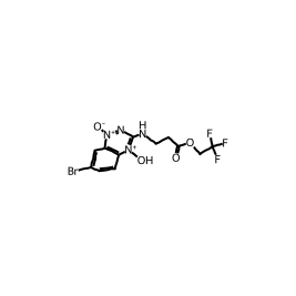 O=C(CCNc1n[n+]([O-])c2cc(Br)ccc2[n+]1O)OCC(F)(F)F